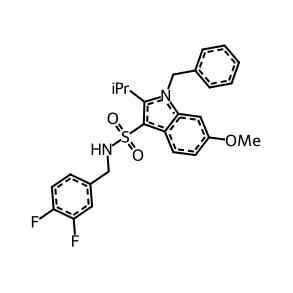 COc1ccc2c(S(=O)(=O)NCc3ccc(F)c(F)c3)c(C(C)C)n(Cc3ccccc3)c2c1